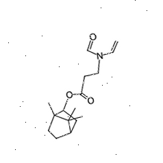 C=CN(C=O)CCC(=O)OC1CC2CCC1(C)C2(C)C